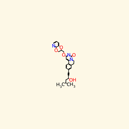 CC(C)CC(O)C#Cc1ccc2c(c1)CCn1c-2cc(OCC2COc3ncccc3O2)nc1=O